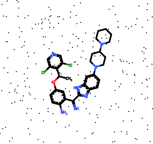 CC(Oc1ccc(N)c(C(=N)c2nc3ccc(N4CCC(N5CCCCC5)CC4)cc3[nH]2)c1)c1c(Cl)cncc1Cl